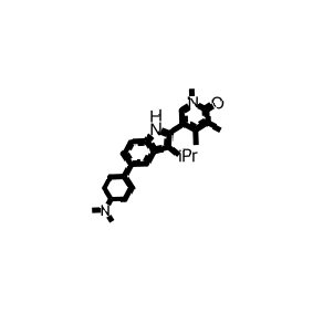 Cc1c(-c2[nH]c3ccc(C4CCC(N(C)C)CC4)cc3c2C(C)C)cn(C)c(=O)c1C